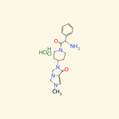 CN1C=C2C(=O)N(C3CCN(C(=O)C(N)c4ccccc4)CC3)CN2C1.Cl.Cl